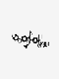 CC(C)NC(=O)Nc1ccc(C2C(C#N)c3ccc(OC4CCOCC4)cc3N2CC2CC2)cc1